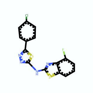 Fc1cccc2sc(Nc3nnc(-c4ccc(Cl)cc4)s3)nc12